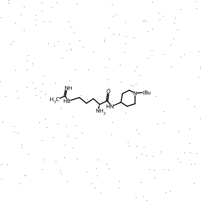 CC(=N)BCCC[C@H](N)C(=O)NC1CCN(C(C)(C)C)CC1